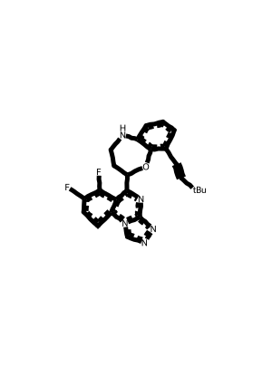 CC(C)(C)C#Cc1cccc2c1OC(c1nc3nncn3c3ccc(F)c(F)c13)CCN2